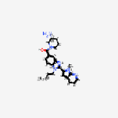 CCn1c(-c2nc3cc(C(=O)N4CCC[C@@H](N)C4)ccc3n2CCOC)cc2cccnc21